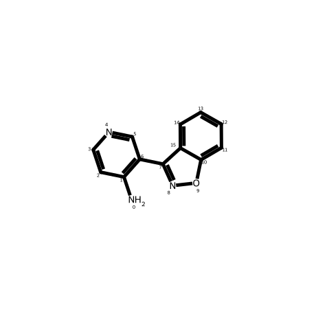 Nc1ccncc1-c1noc2ccccc12